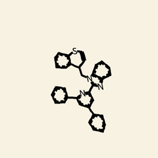 C1#CC(Cn2c(-c3cc(-c4ccccc4)cc(-c4ccccc4)n3)nc3ccccc32)c2ccccc2S1